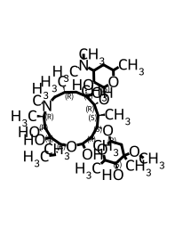 CC[C@H]1OC(O)[C@H](C)[C@@H](O[C@H]2CC(C)(OC)[C@@H](O)C(C)O2)[C@H](C)[C@@H](O[C@@H]2OC(C)CC(N(C)C)C2O)[C@](C)(O)C[C@@H](C)CN(C)[C@H](C)[C@@H](O)[C@]1(C)O